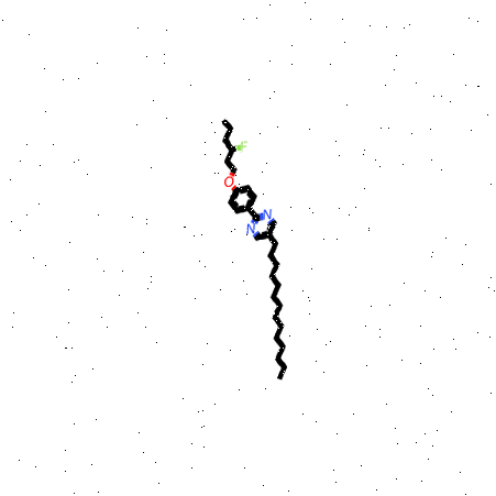 CCCCCCCCCCCCCCc1cnc(-c2ccc(OCCC(F)CCC)cc2)nc1